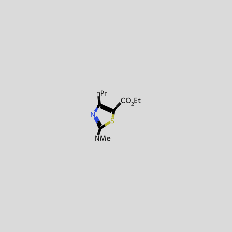 CCCc1nc(NC)sc1C(=O)OCC